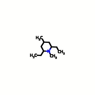 CCC1CC(C)CC(CC)N1C